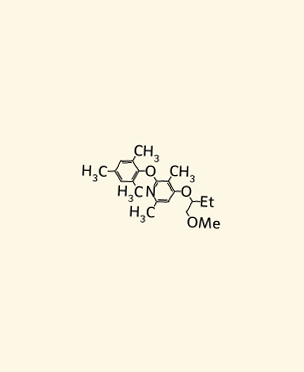 CCC(COC)Oc1cc(C)nc(Oc2c(C)cc(C)cc2C)c1C